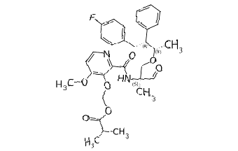 COc1ccnc(C(=O)N[C@](C)(C=O)CO[C@@H](C)[C@H](Cc2ccc(F)cc2)c2ccccc2)c1OCOC(=O)C(C)C